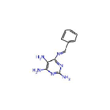 Nc1nc(N)c(N)c(N=Cc2ccccc2)n1